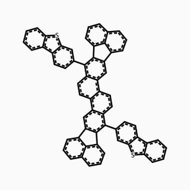 c1cc2c3c(cccc3c1)-c1c-2cc2c(ccc3c4cc5c(c(-c6ccc7c(c6)sc6ccccc67)c4ccc23)-c2cccc3cccc-5c23)c1-c1ccc2c(c1)sc1ccccc12